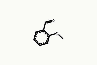 COc1[c]cccc1C=O